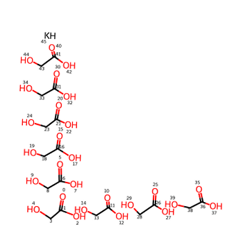 O=C(O)CO.O=C(O)CO.O=C(O)CO.O=C(O)CO.O=C(O)CO.O=C(O)CO.O=C(O)CO.O=C(O)CO.O=C(O)CO.[KH]